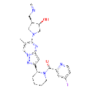 C=NC[C@@H]1CN(c2nc3cc([C@@H]4CCCCN4C(=O)c4cc(I)ccn4)nn3cc2C)C[C@@H]1O